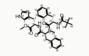 COC(=O)[C@H](Cc1c[nH]cn1)NC(=O)[C@H](Cc1ccccc1)N(C)C(=O)[C@H](Cc1ccccc1)NC(=O)C(C)(C)C